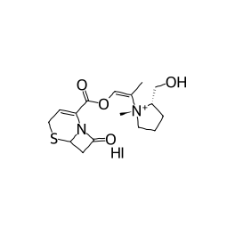 CC(=COC(=O)C1=CCSC2CC(=O)N12)[N@@+]1(C)CCC[C@H]1CO.I